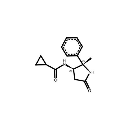 C[C@@]1(c2ccccc2)NC(=O)C[C@H]1NC(=O)C1CC1